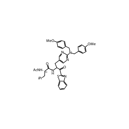 COc1ccc(CN(Cc2ccc(OC)cc2)c2ncc(CC(NC(=O)[C@H](CC(C)C)NC(C)=O)C(=O)c3nc4ccccc4s3)cn2)cc1